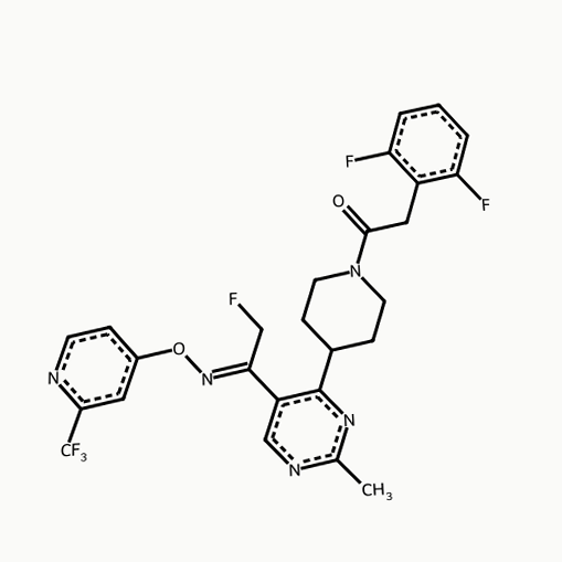 Cc1ncc(C(CF)=NOc2ccnc(C(F)(F)F)c2)c(C2CCN(C(=O)Cc3c(F)cccc3F)CC2)n1